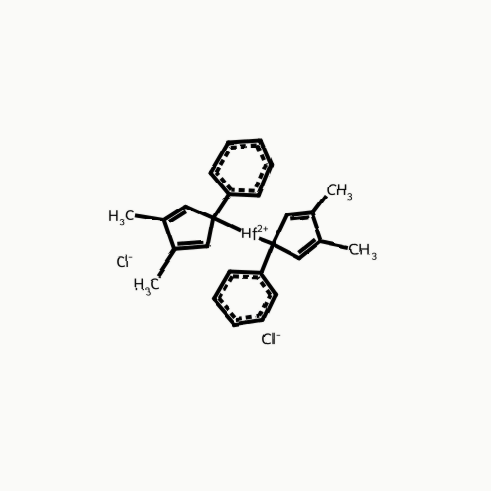 CC1=C[C]([Hf+2][C]2(c3ccccc3)C=C(C)C(C)=C2)(c2ccccc2)C=C1C.[Cl-].[Cl-]